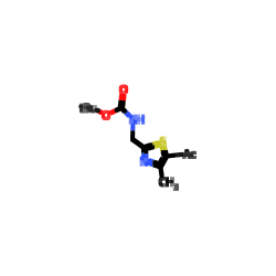 CC(=O)c1sc(CNC(=O)OC(C)(C)C)nc1C